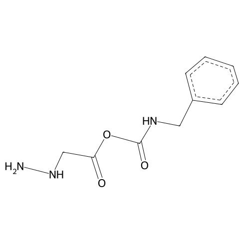 NNCC(=O)OC(=O)NCc1ccccc1